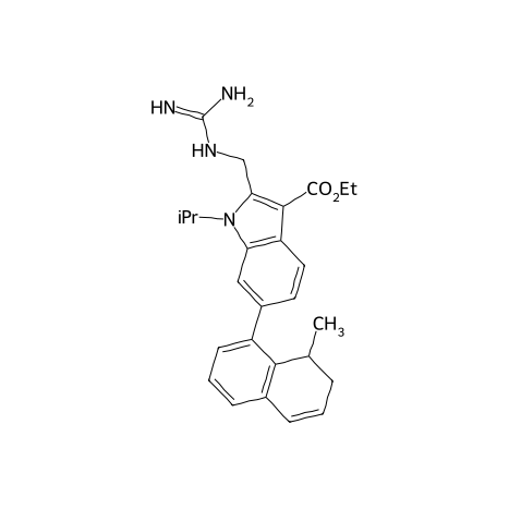 CCOC(=O)c1c(CNC(=N)N)n(C(C)C)c2cc(-c3cccc4c3C(C)CC=C4)ccc12